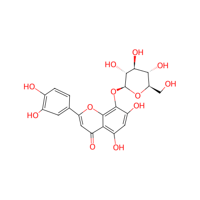 O=c1cc(-c2ccc(O)c(O)c2)oc2c(O[C@@H]3O[C@H](CO)[C@@H](O)[C@H](O)[C@H]3O)c(O)cc(O)c12